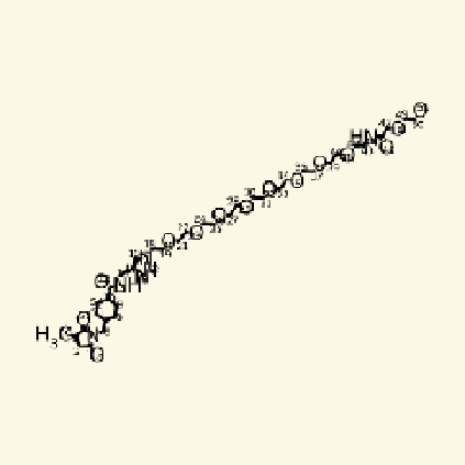 CC1CC(=O)N(CC2CCC(C(=O)NCc3cn(CCOCCOCCOCCOCCOCCOCCOCCOCCNC(=O)COCC=O)nn3)CC2)C1=O